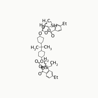 C=C[SiH](C=C)c1cc(CC)ccc1C(=O)OOC(=O)OC1CCC(C(C)(C)C2CCC(OC(=O)OOC(=O)c3ccc(CC)cc3[SiH](C=C)C=C)CC2)CC1